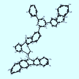 c1ccc(-c2nc(-c3ccc4c5c(oc4c3)-c3ccccc3C(n3c4cc6ccccc6cc4c4cc6ccccc6cc43)C5)nc(-c3ccc4sc5ccccc5c4c3)n2)cc1